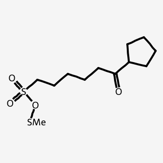 CSOS(=O)(=O)CCCCCC(=O)C1CCCC1